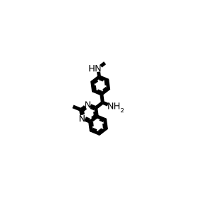 CNc1ccc(C(N)c2nc(C)nc3ccccc23)cc1